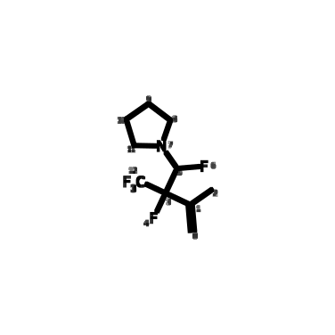 C=C(C)C(F)(C(F)N1CCCC1)C(F)(F)F